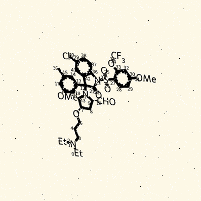 CCN(CC)CCCO[C@@H]1C[C@@H](C=O)N(C2(c3cc(C)ccc3OC)C(=O)N(S(=O)(=O)c3ccc(OC)cc3OC(F)(F)F)c3ccc(Cl)cc32)C1